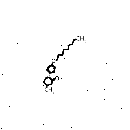 CCCCCCCCCOc1ccc([C@H]2CC[C@H](C)CC2=O)cc1